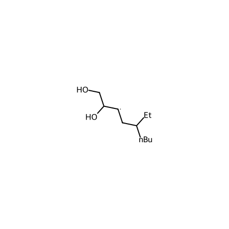 CCCCC(CC)C[CH]C(O)CO